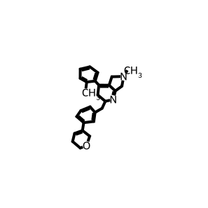 Cc1ccccc1C1=C2CN(C)CC2=NC(Cc2cccc(C3=CCCOC3)c2)C1